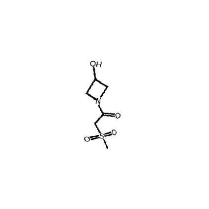 CS(=O)(=O)CC(=O)N1CC(O)C1